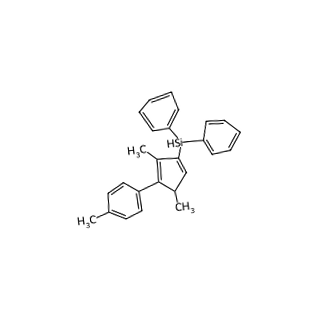 CC1=C(c2ccc(C)cc2)C(C)C=C1[SiH](c1ccccc1)c1ccccc1